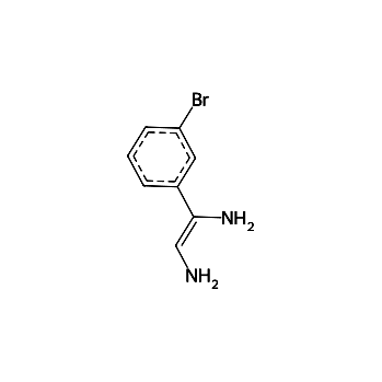 N/C=C(\N)c1cccc(Br)c1